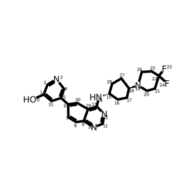 Oc1cncc(-c2ccc3ncnc(N[C@H]4CC[C@H](N5CCC(F)(F)CC5)CC4)c3c2)c1